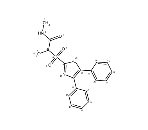 CNC(=O)C(C)S(=O)(=O)c1nc(-c2ccccc2)c(-c2ccccc2)o1